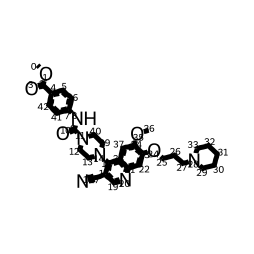 COC(=O)c1ccc(NC(=O)N2CCN(c3c(C#N)cnc4cc(OCCCN5CCCCC5)c(OC)cc34)CC2)cc1